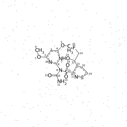 COc1cc(OC)nc(N(C(N)=O)S(=O)(=O)c2ncccc2C(O)CF)n1